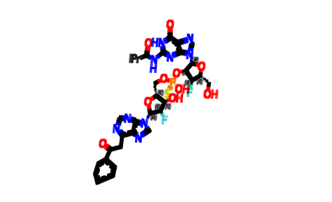 CC(C)C(=O)Nc1nc2c(ncn2[C@@H]2O[C@H](CO)[C@@H](F)[C@H]2OP(O)(=S)OC[C@H]2O[C@@H](n3cnc4c(CC(=O)c5ccccc5)ncnc43)[C@H](F)[C@@H]2O)c(=O)[nH]1